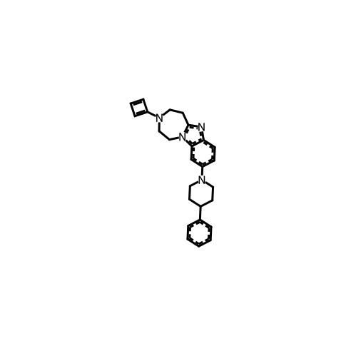 C1=CC(N2CCc3nc4ccc(N5CCC(c6ccccc6)CC5)cc4n3CC2)=C1